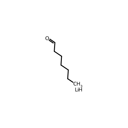 CCCCCCC=O.[LiH]